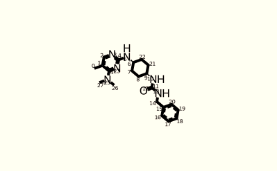 Cc1cnc(N[C@H]2CC[C@@H](NC(=O)NCc3ccccc3)CC2)nc1N(C)C